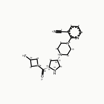 N#Cc1cccnc1N1CCN([C@@H]2CN[C@H](C(=O)N3CC(F)C3)C2)CC1